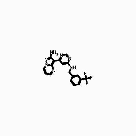 Nc1nn2cccnc2c1-c1cc(NCc2cccc(C(F)(F)F)c2)ncn1